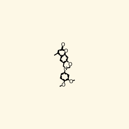 COc1ccc(N2COc3cc4oc(=O)cc(C)c4cc3C2)cc1OC